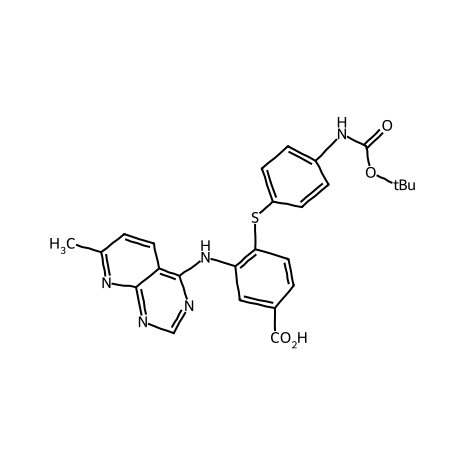 Cc1ccc2c(Nc3cc(C(=O)O)ccc3Sc3ccc(NC(=O)OC(C)(C)C)cc3)ncnc2n1